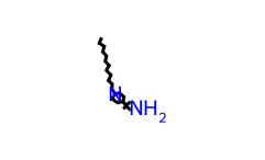 CCCCCCCCCCCCN1CCC(C(C)(C)CN)CC1